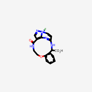 O=C1NCCOc2ccccc2C(C(=O)O)NC2=NC3=C1C=N[N+]3(F)C=C2